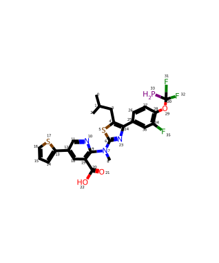 CC(C)Cc1sc(N(C)c2ncc(-c3cccs3)cc2C(=O)O)nc1-c1ccc(OC(F)(F)P)c(F)c1